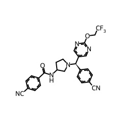 N#Cc1ccc(C(=O)NC2CCN([C@H](c3ccc(C#N)cc3)c3cnc(OCC(F)(F)F)nc3)C2)cc1